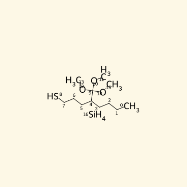 CCCCC(CCCS)C(OC)(OC)OC.[SiH4]